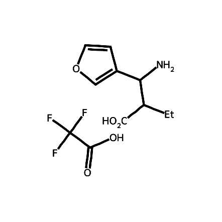 CCC(C(=O)O)C(N)c1ccoc1.O=C(O)C(F)(F)F